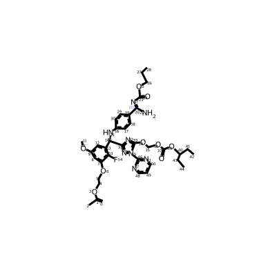 C=C(C)OCCOc1cc(OC)cc([C@@H](Nc2ccc(/C(N)=N/C(=O)OCCC)cc2)c2nc(OCOC(=O)OC(CC)CC)n(-c3ncccn3)n2)c1F